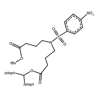 CCCCCCCC(CCCCCCC)OC(=O)CCCN(CCCC(=O)OC(C)(C)C)S(=O)(=O)c1ccc([N+](=O)[O-])cc1